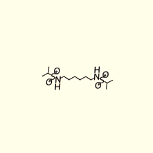 CC(C)S(=O)(=O)NCCCCCCNS(=O)(=O)C(C)C